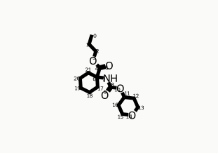 CCCOC(=O)C1(NC(=O)OC2CCOCC2)CCCCC1